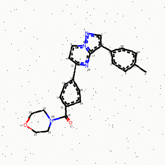 Cc1ccc(-c2cnn3ccc(-c4ccc(C(=O)N5CCOCC5)cc4)nc23)cc1